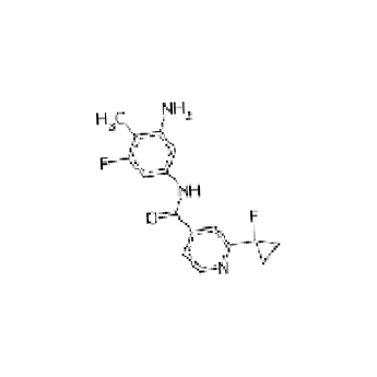 Cc1c(N)cc(NC(=O)c2ccnc(C3(F)CC3)c2)cc1F